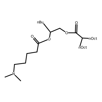 CCCCCCCCC(CCCCCCCC)C(=O)OCC(CCCC)OC(=O)CCCCN(C)C